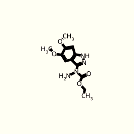 CCOC(=O)N(N)c1n[nH]c2cc(OC)c(OC)cc12